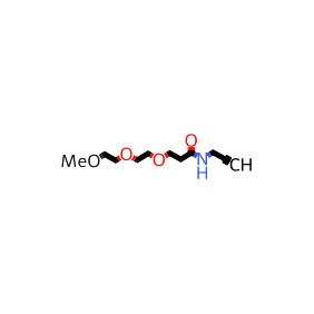 C#CCNC(=O)CCOCCOCCOC